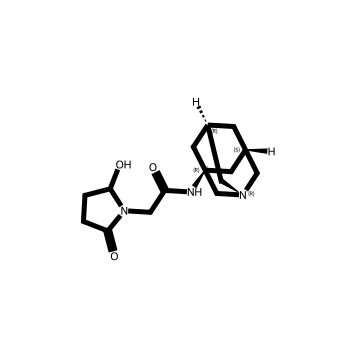 O=C(CN1C(=O)CCC1O)N[C@@]12C[C@@H]3C[C@@H](C[N@](C3)C1)C2